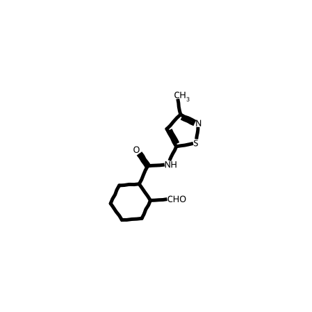 Cc1cc(NC(=O)C2CCCCC2C=O)sn1